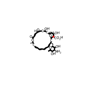 CC1O[C@@H](C[C@H]2/C=C/C=C/C=C/C=C/C[C@@H](C)OC(=O)/C=C/[C@H]3OC3C[C@H](O)C[C@]3(O)C[C@H](O)[C@@H](C(=O)O)[C@H](C2)O3)C(O)[C@H](N)[C@@H]1O